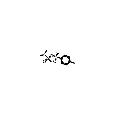 Cc1ccc(S(=O)(=O)N=S(C)(=O)N(C)C)cc1